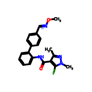 CO/N=C/c1ccc(-c2ccccc2NC(=O)c2c(C)nn(C)c2F)cc1